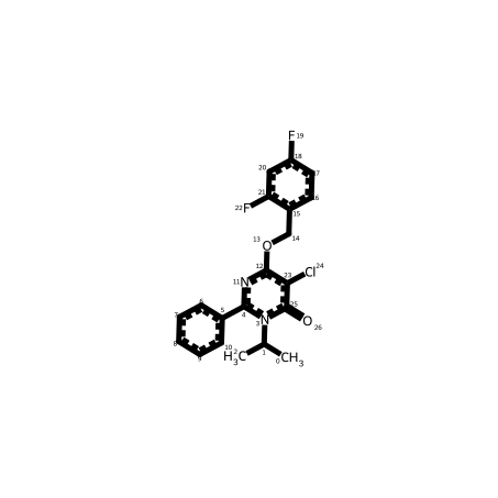 CC(C)n1c(-c2ccccc2)nc(OCc2ccc(F)cc2F)c(Cl)c1=O